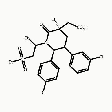 CCC(CS(=O)(=O)CC)N1C(=O)[C@@](CC)(CC(=O)O)CC(c2cccc(Cl)c2)[C@H]1c1ccc(Cl)cc1